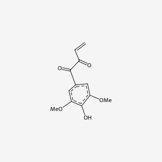 C=CC(=O)C(=O)c1cc(OC)c(O)c(OC)c1